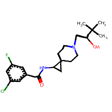 CC(C)(C)C(O)CN1CCC2(CC1)CC2NC(=O)c1cc(F)cc(Cl)c1